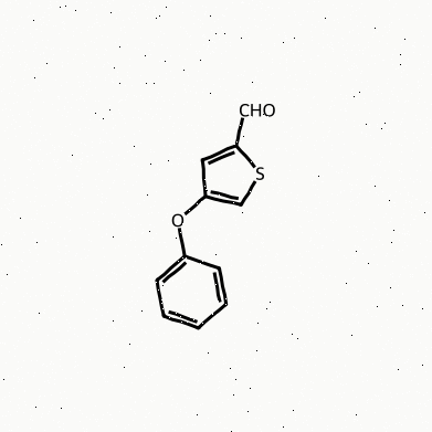 O=Cc1cc(Oc2ccccc2)cs1